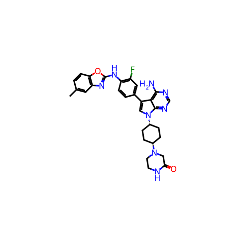 Cc1ccc2oc(Nc3ccc(-c4cn([C@H]5CC[C@H](N6CCNC(=O)C6)CC5)c5ncnc(N)c45)cc3F)nc2c1